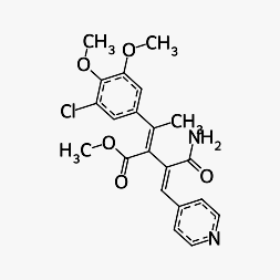 COC(=O)C(C(=Cc1ccncc1)C(N)=O)=C(C)c1cc(Cl)c(OC)c(OC)c1